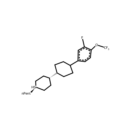 CCCCC[Si@H]1CC[C@H](C2CCC(c3ccc(OC(F)(F)F)c(F)c3)CC2)CC1